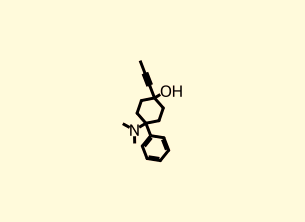 CC#CC1(O)CCC(c2ccccc2)(N(C)C)CC1